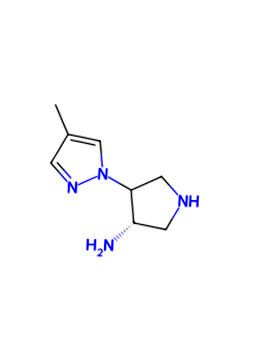 Cc1cnn(C2CNC[C@@H]2N)c1